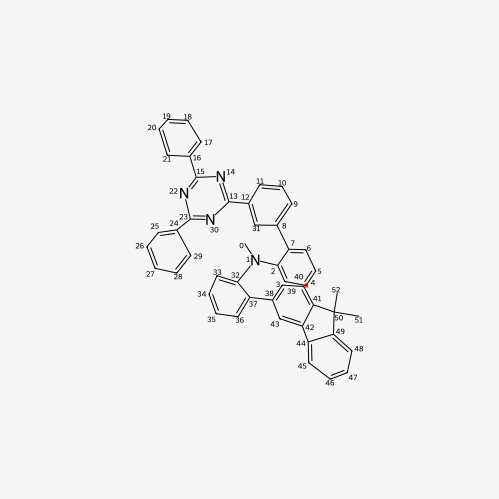 CN(c1ccccc1-c1cccc(-c2nc(-c3ccccc3)nc(-c3ccccc3)n2)c1)c1ccccc1-c1ccc2c(c1)-c1ccccc1C2(C)C